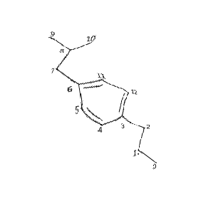 C[CH]Cc1ccc(CC(C)C)cc1